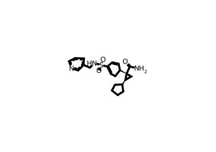 NC(=O)[C@]1(C2C=CC(S(=O)(=O)NCc3cccnc3)=CC2)C[C@H]1C1CCCC1